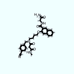 CNC(=O)CC(=O)N(CCCCOc1cc2ccccc2cc1C(=O)NCC(N)=O)Cc1ccc(C#N)cc1